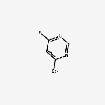 C[CH]c1cc(F)ncn1